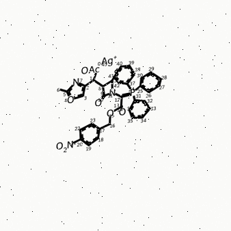 CC(=O)OC(c1coc(C)n1)C1C(=O)N(C(C(=O)OCc2ccc([N+](=O)[O-])cc2)=P(c2ccccc2)(c2ccccc2)c2ccccc2)C1[S-].[Ag+]